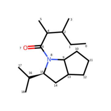 CCC(C)C(C)C(=O)N1C2CCCC2C[C@H]1C(C)C